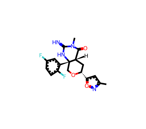 Cc1cc([C@H]2C[C@H]3C(=O)N(C)C(=N)N[C@@]3(c3cc(F)ccc3F)CO2)on1